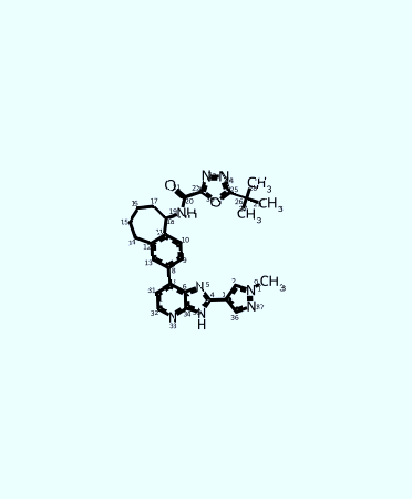 Cn1cc(-c2nc3c(-c4ccc5c(c4)CCCCC5NC(=O)c4nnc(C(C)(C)C)o4)ccnc3[nH]2)cn1